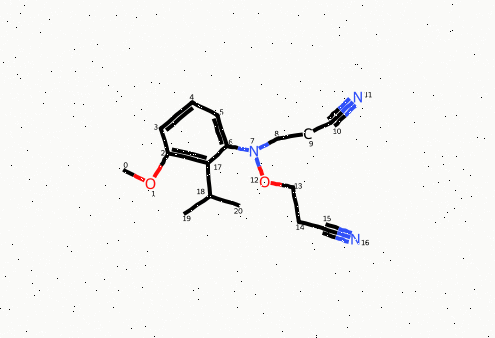 COc1cccc(N(CCC#N)OCCC#N)c1C(C)C